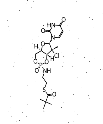 CC(C)(C)C(=O)SCCNP1(=O)OC[C@H]2O[C@@H](n3ccc(=O)[nH]c3=O)[C@](C)(Cl)[C@@H]2O1